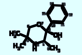 C[C@H]1NC(C)(C)CO[C@]1(O)c1ccccc1